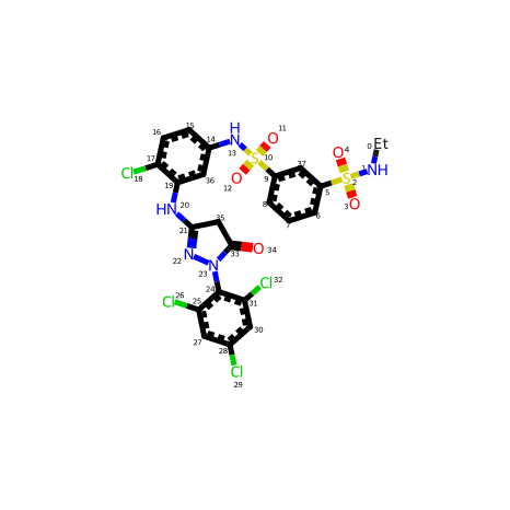 CCNS(=O)(=O)c1cccc(S(=O)(=O)Nc2ccc(Cl)c(NC3=NN(c4c(Cl)cc(Cl)cc4Cl)C(=O)C3)c2)c1